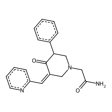 NC(=O)CN1CC(=Cc2ccccn2)C(=O)C(c2ccccc2)C1